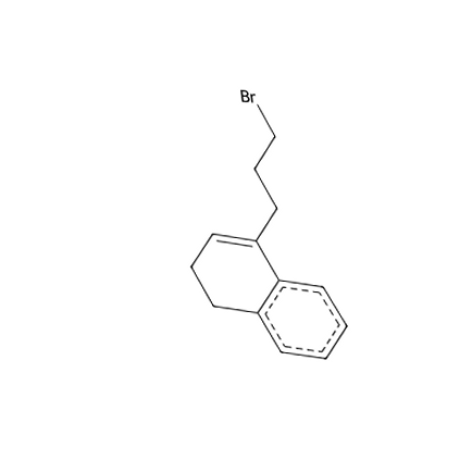 BrCCCC1=CCCc2ccccc21